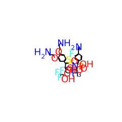 CCc1c(S(=O)(=O)NC(c2ccc(C#N)c(F)c2)P(=O)(O)O)sc2cc(OCCN)c(OCCN)cc12.O=C(O)C(F)(F)F